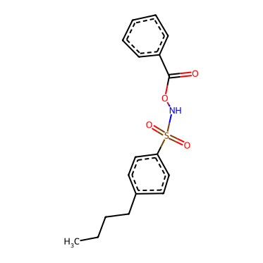 CCCCc1ccc(S(=O)(=O)NOC(=O)c2ccccc2)cc1